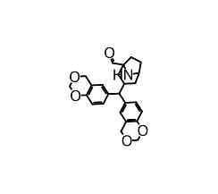 O=CC12CCC(CC(C(c3ccc4c(c3)COCO4)c3ccc4c(c3)COCO4)C1)N2